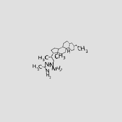 CC[C@H]1CC[C@H]2C(CCC3C2CC[C@@]2(C)C3CCC2[C@H](C)CN(N)/N=C(/C)N)C1